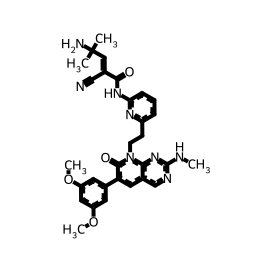 CNc1ncc2cc(-c3cc(OC)cc(OC)c3)c(=O)n(CCc3cccc(NC(=O)/C(C#N)=C/C(C)(C)N)n3)c2n1